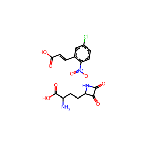 NC(CCC1NC(=O)C1=O)C(=O)O.O=C(O)C=Cc1cc(Cl)ccc1[N+](=O)[O-]